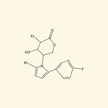 CCC1C(=O)OCC(n2c(-c3ccc(F)cc3)ccc2C(C)C)C1O